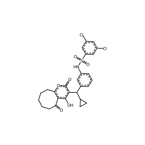 O=C1CCCCCc2oc(=O)c(C(c3cccc(NS(=O)(=O)c4cc(Cl)cc(Cl)c4)c3)C3CC3)c(O)c21